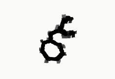 CCCN(CC1CCCCCS1)C(C)C